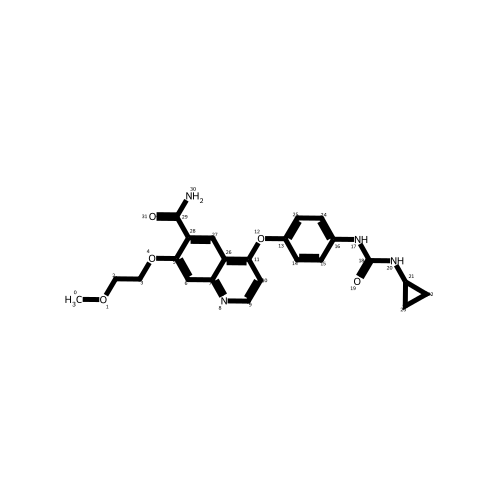 COCCOc1cc2nccc(Oc3ccc(NC(=O)NC4CC4)cc3)c2cc1C(N)=O